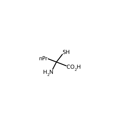 CCCC(N)(S)C(=O)O